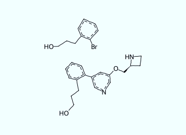 OCCCc1ccccc1-c1cncc(OC[C@@H]2CCN2)c1.OCCCc1ccccc1Br